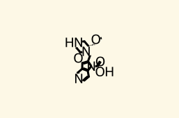 COC[C@H]1CNCC(=O)N1Cc1cc2cnccc2n1C(=O)O